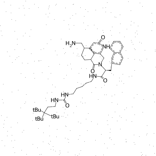 CC(C)(C)C(CCNC(=O)NCCCCCNC(=O)[C@H](Cc1ccc2ccccc2c1)N(Cc1cccc(=O)[nH]1)C(=O)C1CCC(CN)CC1)(C(C)(C)C)C(C)(C)C